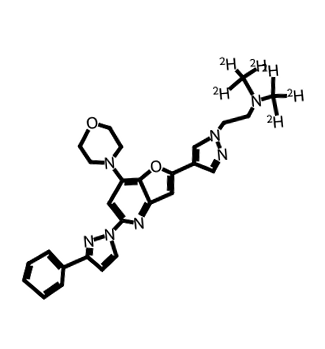 [2H]C([2H])([2H])N(CCn1cc(-c2cc3nc(-n4ccc(-c5ccccc5)n4)cc(N4CCOCC4)c3o2)cn1)C([2H])([2H])[2H]